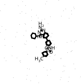 Cc1ccc(S(=O)(=O)Nc2ccc(-c3ccc4nc(N)nc(NC5CCCCC5)c4c3)cc2)cc1